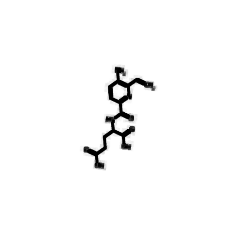 C=Cc1nc(C(=O)NC(CCC(=O)O)C(=O)O)ccc1N